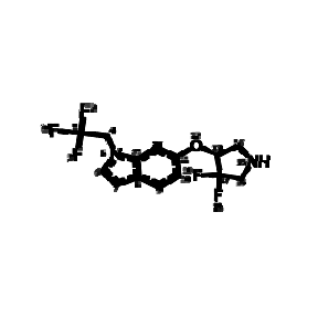 FC(F)(F)Cn1ccc2ccc(O[C@H]3CNCC3(F)F)cc21